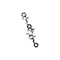 O=C(/C=C/c1ccccc1)N[C@@H](CNC(=O)c1ccc(OCCNC2=NCCCN2)cc1O)C(=O)O